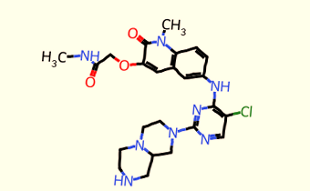 CNC(=O)COc1cc2cc(Nc3nc(N4CCN5CCNCC5C4)ncc3Cl)ccc2n(C)c1=O